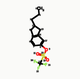 CCCC1Cc2ccc(OS(=O)(=O)C(F)(F)F)cc2C1